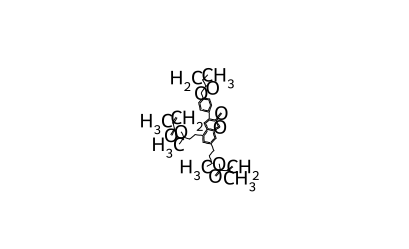 C=C(C)C(=O)Oc1ccc(-c2cc3c(CCC(C)OC(=O)C(=C)C)cc(CCC(C)OC(=O)C(=C)C)cc3oc2=O)cc1